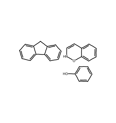 C1=Cc2ccccc2ON1.Oc1ccccc1.c1ccc2c(c1)Cc1ccccc1-2